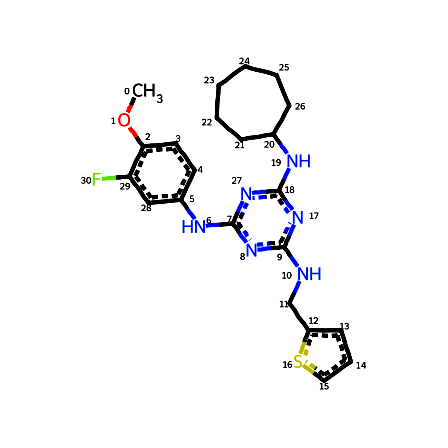 COc1ccc(Nc2nc(NCc3cccs3)nc(NC3CCCCCC3)n2)cc1F